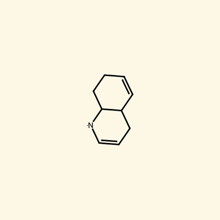 C1=CC2CC=C[N]C2CC1